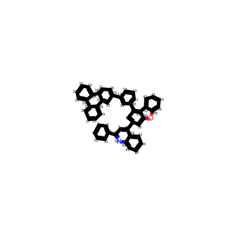 c1ccc(-c2cc(-c3cc(-c4cccc(-c5ccc6c7ccccc7c7ccccc7c6c5)c4)c4c(c3)oc3ccccc34)c3ccccc3n2)cc1